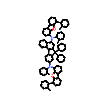 Cc1ccccc1-c1cccc2c1oc1c(N(c3ccc4c(c3)C(c3ccccc3)(c3ccccc3)c3cc(N(c5ccccc5C)c5cccc6c5oc5c(-c7ccccc7C)cccc56)c5ccccc5c3-4)c3ccccc3C)cccc12